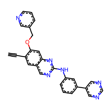 C#Cc1cc2cnc(Nc3cccc(-c4cncnc4)c3)nc2cc1OCc1cccnc1